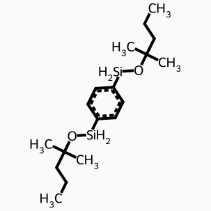 CCCC(C)(C)O[SiH2]c1ccc([SiH2]OC(C)(C)CCC)cc1